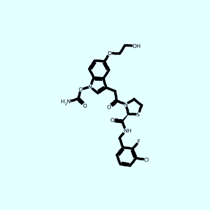 NC(=O)On1cc(CC(=O)N2CCS[C@H]2C(=O)NCc2cccc(Cl)c2F)c2cc(OCCO)ccc21